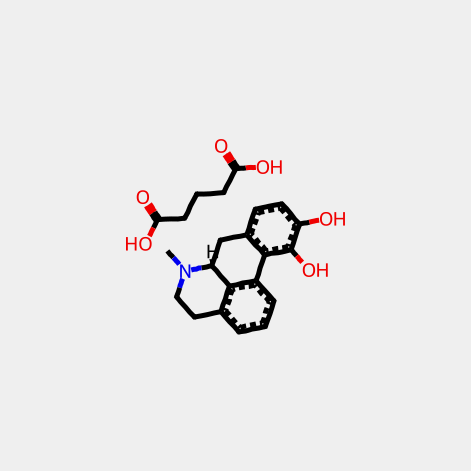 CN1CCc2cccc3c2[C@H]1Cc1ccc(O)c(O)c1-3.O=C(O)CCCC(=O)O